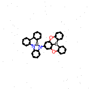 c1ccc2c(c1)Oc1cc(N3B4c5ccccc5-c5ccccc5N4c4ccccc43)cc3c1B2c1ccccc1O3